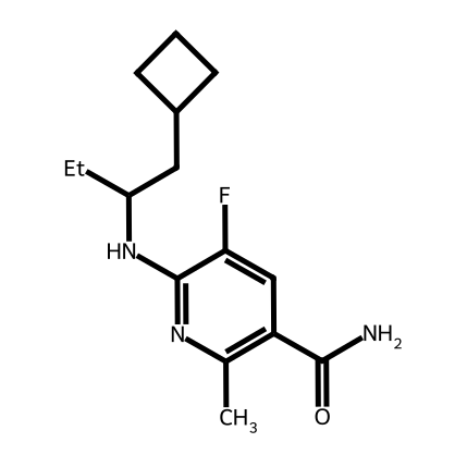 CCC(CC1CCC1)Nc1nc(C)c(C(N)=O)cc1F